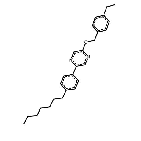 CCCCCCCc1ccc(-c2cnc(OCc3ccc(CC)cc3)cn2)cc1